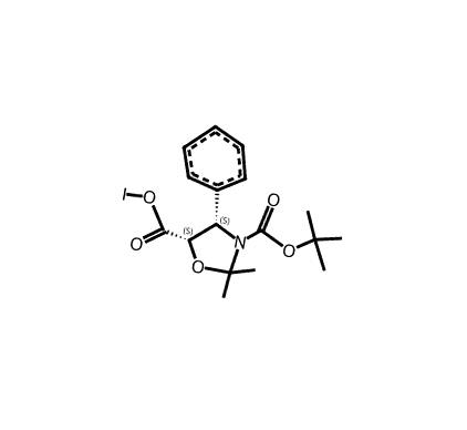 CC(C)(C)OC(=O)N1[C@@H](c2ccccc2)[C@@H](C(=O)OI)OC1(C)C